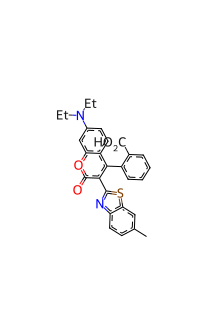 CCN(CC)c1ccc2c(-c3ccccc3C(=O)O)c(-c3nc4ccc(C)cc4s3)c(=O)oc2c1